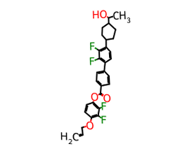 C=CCOc1ccc(OC(=O)c2ccc(-c3ccc(C4CCC(C(C)O)CC4)c(F)c3F)cc2)c(F)c1F